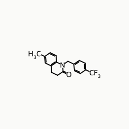 Cc1ccc2c(c1)CCC(=O)N2Cc1ccc(C(F)(F)F)cc1